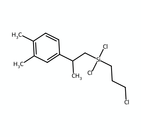 Cc1ccc(C(C)C[Si](Cl)(Cl)CCCCl)cc1C